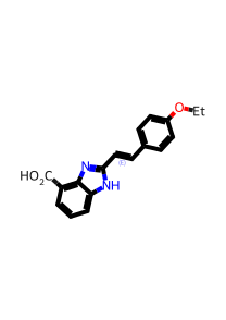 CCOc1ccc(/C=C/c2nc3c(C(=O)O)cccc3[nH]2)cc1